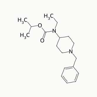 CCN(C(=O)OC(C)C)C1CCN(Cc2ccccc2)CC1